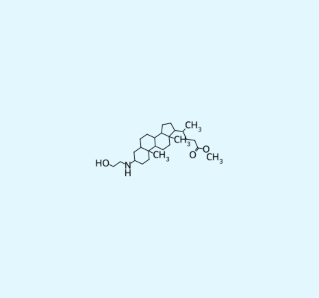 COC(=O)CCC(C)C1CCC2C3CCC4CC(NCCO)CCC4(C)C3CCC12C